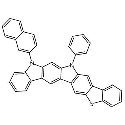 c1ccc(-n2c3cc4c(cc3c3cc5c6ccccc6n(-c6ccc7ccccc7c6)c5cc32)sc2ccccc24)cc1